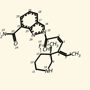 C=C(/C=C\C(=C/C)[C@]1(C)CNCC[C@@H]1F)n1cc2cccc(C(N)=O)c2n1